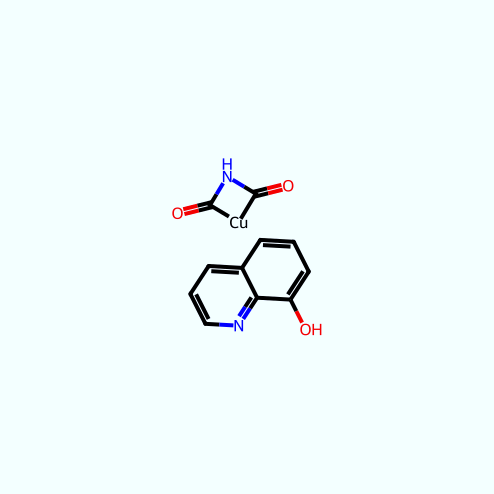 O=[C]1N[C](=O)[Cu]1.Oc1cccc2cccnc12